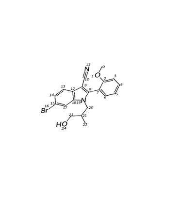 COc1ccccc1-c1c(C#N)c2ccc(Br)cc2n1CC(C)CO